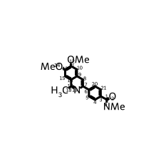 CNC(=O)c1ccc(-c2cc3cc(OC)c(OC)cc3c(C)n2)cc1